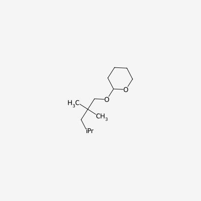 CC(C)CC(C)(C)COC1CCCCO1